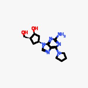 Nc1nc(N2CCCC2)c2ncn([C@@H]3C[C@H](CO)[C@@H](O)C3)c2n1